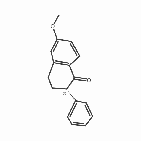 COc1ccc2c(c1)CC[C@@H](c1ccccc1)C2=O